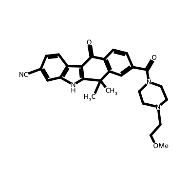 COCCN1CCN(C(=O)c2ccc3c(c2)C(C)(C)c2[nH]c4cc(C#N)ccc4c2C3=O)CC1